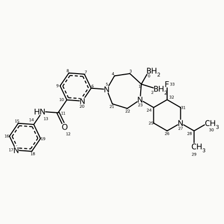 BC1(B)CCN(c2cccc(C(=O)Nc3ccncc3)n2)CCN1C1CCN(C(C)C)CC1F